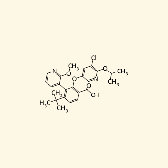 COc1ncccc1-c1c(C(C)(C)C)ccc(C(=O)O)c1Oc1cnc(OC(C)C)c(Cl)c1